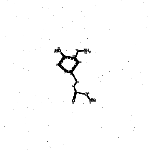 CCCCOC(=O)CCc1ccc(O)c(CN)c1